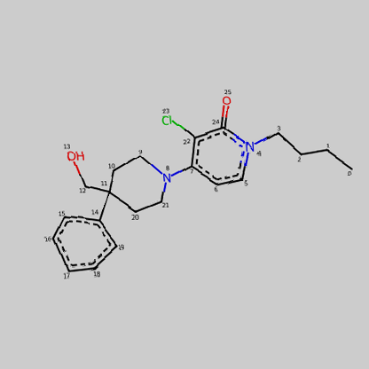 CCCCn1ccc(N2CCC(CO)(c3ccccc3)CC2)c(Cl)c1=O